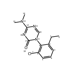 CCc1cccc(Cl)c1-n1cnc(N(C)C)nc1=O